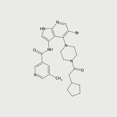 Cc1cncc(C(=O)Nc2c[nH]c3ncc(Br)c(N4CCN(C(=O)CC5CCCC5)CC4)c23)c1